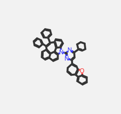 C1=Cc2c(oc3ccccc23)C=C(c2cc(C3=CCCCC3)nc(-n3c4cccc5c4c4c6c(cccc6ccc43)C(c3ccccc3)=C5c3ccccc3)n2)C1